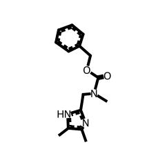 Cc1nc(CN(C)C(=O)OCc2ccccc2)[nH]c1C